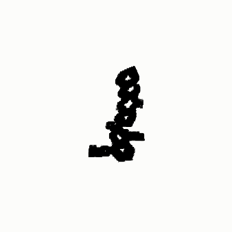 COc1cccc(OC)c1CS(=O)(=O)c1ccc2c(c1)SC(=Cc1ccccc1)C(=O)N2